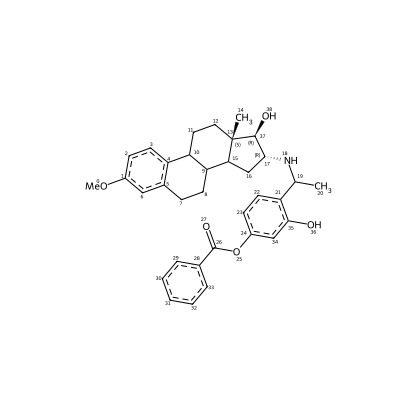 COc1ccc2c(c1)CCC1C2CC[C@@]2(C)C1C[C@@H](NC(C)c1ccc(OC(=O)c3ccccc3)cc1O)[C@@H]2O